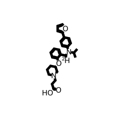 [2H]C(c1ccccc1OC1CCCN(CCC(=O)O)C1)N(c1ccc(-c2ccco2)cc1)C(C)C